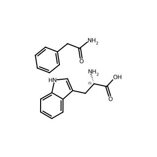 NC(=O)Cc1ccccc1.N[C@@H](Cc1c[nH]c2ccccc12)C(=O)O